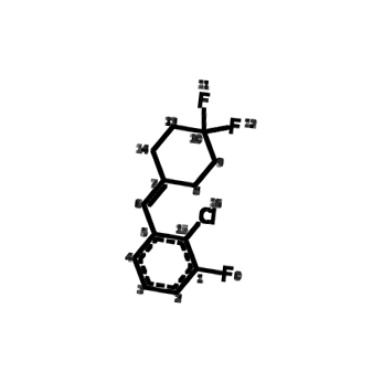 Fc1cccc(C=C2CCC(F)(F)CC2)c1Cl